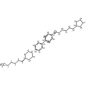 CCCCCC[C@H]1CC[C@H](c2ccc(-c3ncc(OCCCCCC4CCCC4)cn3)cc2)CC1